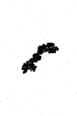 COC(=O)N[C@H](C(=O)N1C[C@@H](C(F)(F)F)C[C@H]1c1ncc(-c2ccc(-c3ccc4c(ccc5nc([C@@H]6CC7CC7N6C(=O)[C@@H](NC(=O)OC)C(C)C)[nH]c54)c3)c3c2CCC3)[nH]1)C(C)C